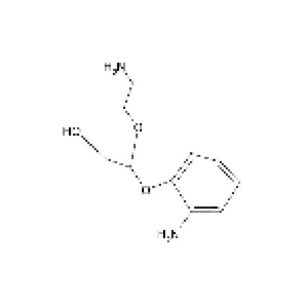 NCCOC(CO)Oc1ccccc1N